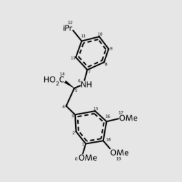 COc1cc(C[C@H](Nc2cccc(C(C)C)c2)C(=O)O)cc(OC)c1OC